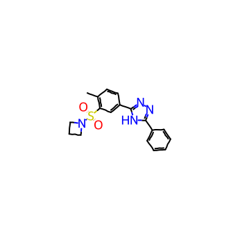 Cc1ccc(-c2nnc(-c3ccccc3)[nH]2)cc1S(=O)(=O)N1CCC1